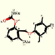 CCc1cc(C)c(OCc2c(OC(=O)NC)cccc2SC)cc1C